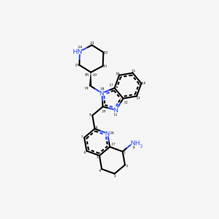 NC1CCCc2ccc(Cc3nc4ccccc4n3C[C@@H]3CCCNC3)nc21